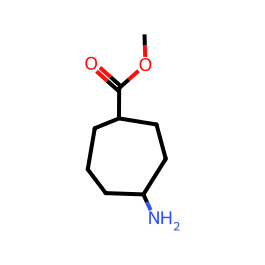 COC(=O)C1CCCC(N)CC1